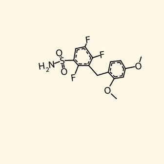 COc1ccc(Cc2c(F)c(F)cc(S(N)(=O)=O)c2F)c(OC)c1